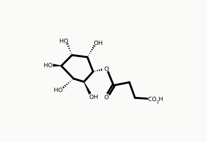 O=C(O)CCC(=O)O[C@@H]1[C@@H](O)[C@H](O)[C@@H](O)[C@H](O)[C@@H]1O